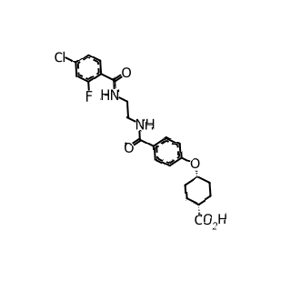 O=C(NCCNC(=O)c1ccc(Cl)cc1F)c1ccc(O[C@H]2CC[C@@H](C(=O)O)CC2)cc1